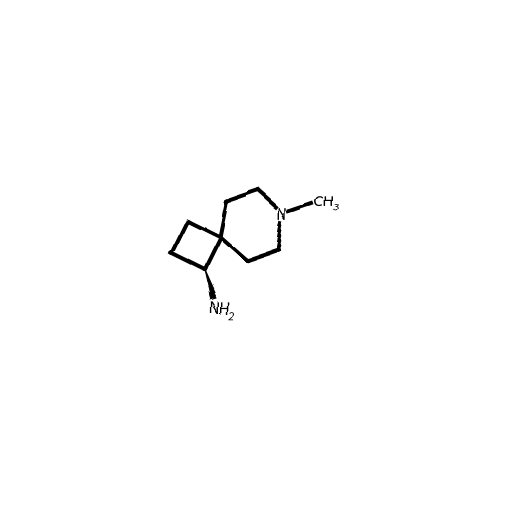 CN1CCC2(CC[C@@H]2N)CC1